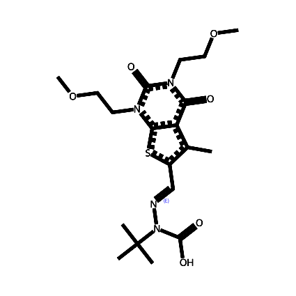 COCCn1c(=O)c2c(C)c(/C=N/N(C(=O)O)C(C)(C)C)sc2n(CCOC)c1=O